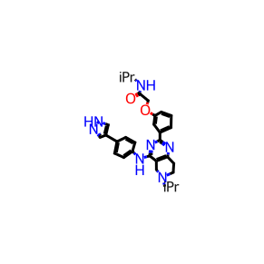 CC(C)NC(=O)COc1cccc(-c2nc3c(c(Nc4ccc(-c5cn[nH]c5)cc4)n2)CN(C(C)C)CC3)c1